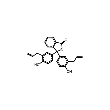 C=CCc1cc(C2(c3ccc(O)c(CC=C)c3)OC(=O)c3ccccc32)ccc1O